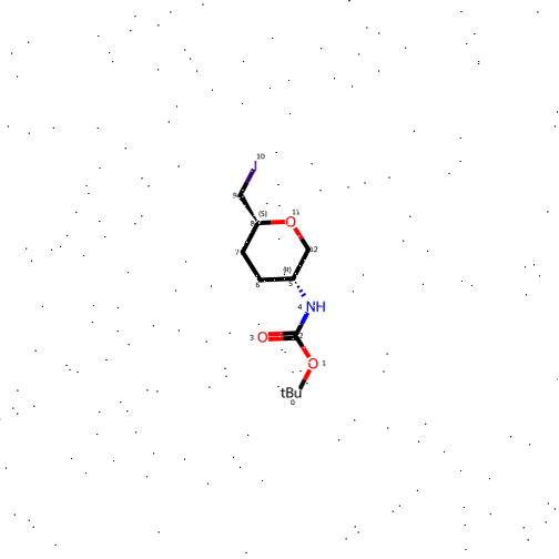 CC(C)(C)OC(=O)N[C@@H]1CC[C@@H](CI)OC1